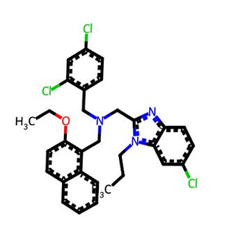 CCCn1c(CN(Cc2ccc(Cl)cc2Cl)Cc2c(OCC)ccc3ccccc23)nc2ccc(Cl)cc21